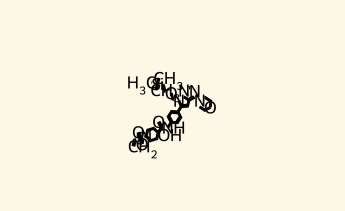 C=CS(=O)(=O)N1CCC(O)(C(=O)Nc2ccc(-c3cc4c(N5CCOCC5)ncnc4n3COCC[Si](C)(C)C)cc2)CC1